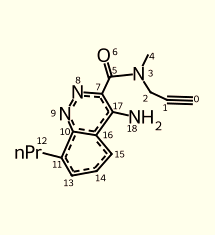 C#CCN(C)C(=O)c1nnc2c(CCC)cccc2c1N